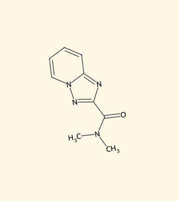 CN(C)C(=O)c1nc2ccccn2n1